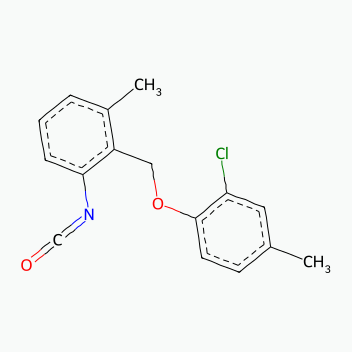 Cc1ccc(OCc2c(C)cccc2N=C=O)c(Cl)c1